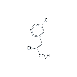 CC/C(=C\c1cccc(Cl)c1)C(=O)O